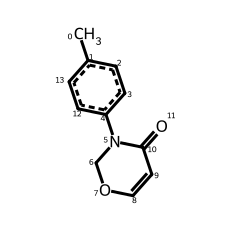 Cc1ccc(N2COC=CC2=O)cc1